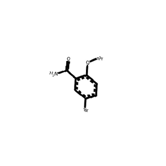 CCCOc1ccc(Br)cc1C(N)=O